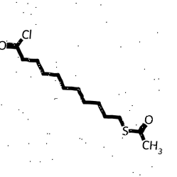 CC(=O)SCCCCCCCCCCC(=O)Cl